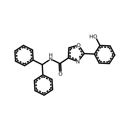 O=C(NC(c1ccccc1)c1ccccc1)c1coc(-c2ccccc2O)n1